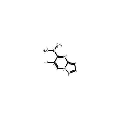 CN(C)c1nc2ccnn2cc1F